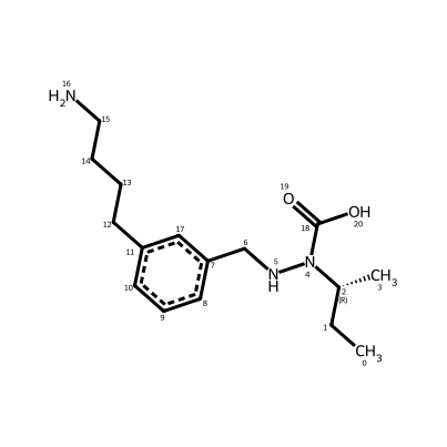 CC[C@@H](C)N(NCc1cccc(CCCCN)c1)C(=O)O